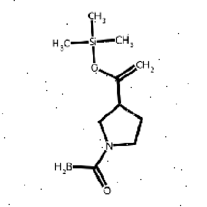 BC(=O)N1CCC(C(=C)O[Si](C)(C)C)C1